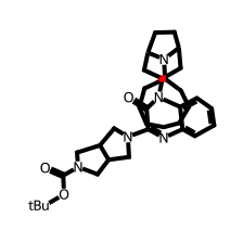 CC(C)(C)OC(=O)N1CC2CN(c3nc4ccccc4n(C4CC5CCC(C4)N5C4CCCCCCC4)c3=O)CC2C1